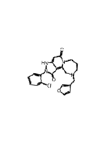 O=c1c2c3n(c(=O)cc2[nH]n1-c1ccccc1Cl)CCCN(Cc1ccoc1)C3